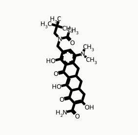 CC(=O)N(Cc1cc(N(C)C)c2c(c1O)C(=O)C1=C(O)C3C(=O)C(C(N)=O)=C(O)CC3CC1C2)CC(C)(C)C